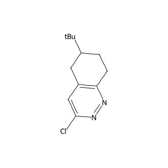 CC(C)(C)C1CCc2nnc(Cl)cc2C1